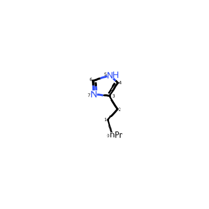 CCCCCc1c[nH][c]n1